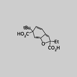 CCC1(C(=O)O)C=C2C=CC(C(=O)O)(C(C)(C)C)C=C2O1